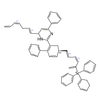 C=C/C=C\C/C=C/C1C=C(c2ccccc2)N=C(C2=C(c3ccccc3)C=C[C@H](/C=C/C=C\C(=C)[Si](C3=CC=CCC3)(c3ccccc3)c3ccccc3)C2)N1